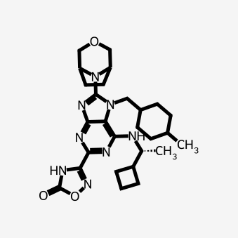 CC1CCC(Cn2c(N3C4CCC3COC4)nc3nc(-c4noc(=O)[nH]4)nc(N[C@H](C)C4CCC4)c32)CC1